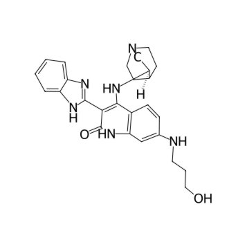 O=c1[nH]c2cc(NCCCO)ccc2c(N[C@H]2CN3CCC2CC3)c1-c1nc2ccccc2[nH]1